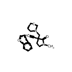 C#CC1(CN2CCCCC2)CCN(C)C1=O.c1ccc2occc2c1